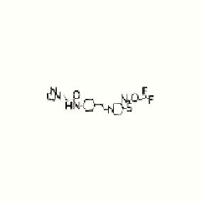 O=C(CCn1cccn1)N[C@H]1CC[C@H](CCN2CCc3sc(OCC(F)F)nc3C2)CC1